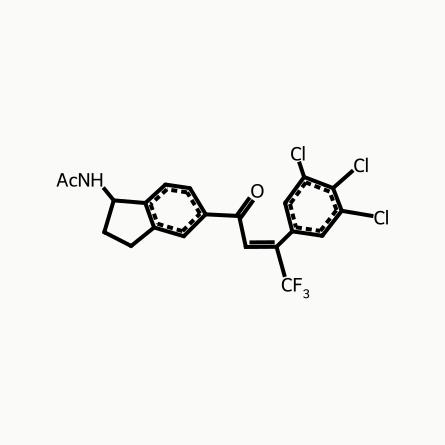 CC(=O)NC1CCc2cc(C(=O)C=C(c3cc(Cl)c(Cl)c(Cl)c3)C(F)(F)F)ccc21